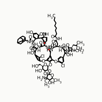 CCCCCCCCC(=O)NC(=O)C[C@@H]1NC(=O)[C@H](NC(=O)[C@@H](CC(C)C)NC)[C@H](O)c2ccc(c(Cl)c2)Oc2cc3cc(c2O[C@@H]2O[C@H](CO)[C@@H](O)[C@H](O)[C@H]2O[C@H]2C[C@](C)(N)[C@H](O)[C@H](C)O2)Oc2ccc(cc2Cl)[C@H](O)[C@H]2NC(=O)[C@H](NC(=O)[C@@H]3NC1=O)c1ccc(O)c(c1)-c1c(O)cc(O)cc1[C@@H](C(=O)NC1C3CC4CC(C3)CC1C4)NC2=O